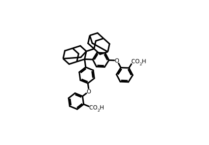 O=C(O)c1ccccc1Oc1ccc(C2(c3ccc(Oc4ccccc4C(=O)O)cc3)C3CC4CC(C3)CC2(C23CC5CC(CC(C5)C2)C3)C4)cc1